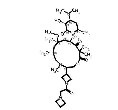 CO[C@]1(C)C[C@@H](C)CN(C)[C@H](C2CN(C(=O)CN3CCC3)C2)COC(=O)C(C)(C)C(=O)[C@H](C)[C@H]1O[C@@H]1O[C@H](C)C[C@H](N(C)C)[C@H]1O